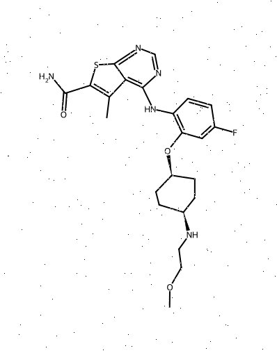 COCCN[C@H]1CC[C@@H](Oc2cc(F)ccc2Nc2ncnc3sc(C(N)=O)c(C)c23)CC1